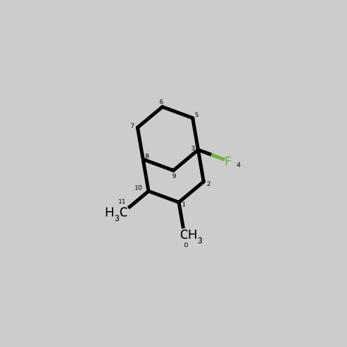 CC1CC2(F)CCCC(C2)C1C